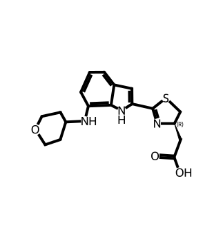 O=C(O)C[C@@H]1CSC(c2cc3cccc(NC4CCOCC4)c3[nH]2)=N1